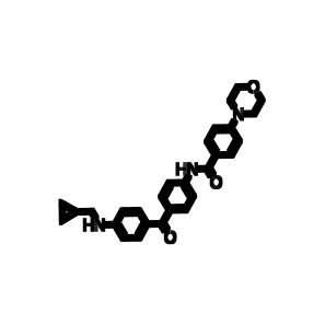 O=C(Nc1ccc(C(=O)c2ccc(NCC3CC3)cc2)cc1)c1ccc(N2CCOCC2)cc1